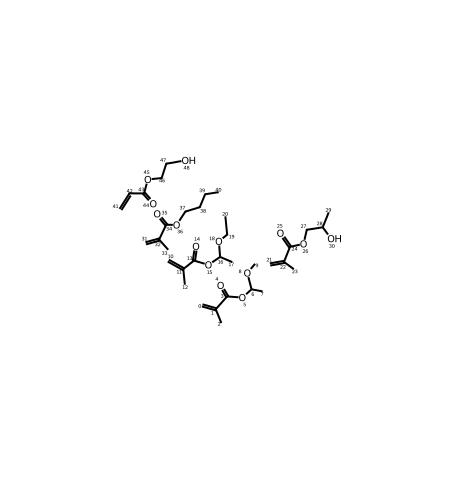 C=C(C)C(=O)OC(C)OC.C=C(C)C(=O)OC(C)OCC.C=C(C)C(=O)OCC(C)O.C=C(C)C(=O)OCCCC.C=CC(=O)OCCO